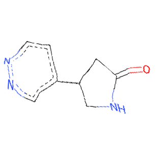 O=C1CC(c2ccnnc2)CN1